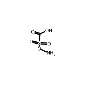 NOS(=O)(=O)C(=O)O